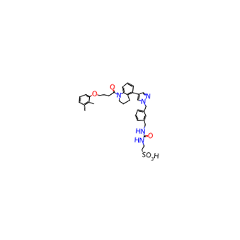 Cc1cccc(OCCCC(=O)N2CCCc3c(-c4cnn(Cc5cccc(CNC(=O)NCCS(=O)(=O)O)c5)c4)cccc32)c1C